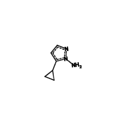 Nn1nccc1C1CC1